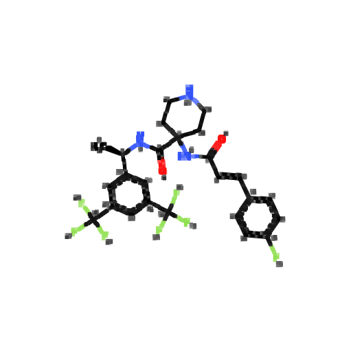 C[C@@H](NC(=O)C1(NC(=O)C=Cc2ccc(F)cc2)CCNCC1)c1cc(C(F)(F)F)cc(C(F)(F)F)c1